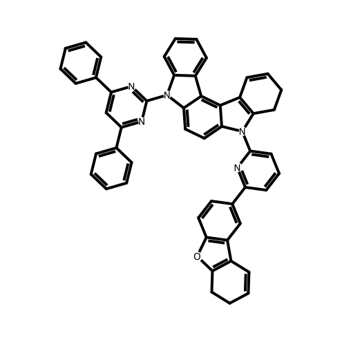 C1=Cc2c(oc3ccc(-c4cccc(-n5c6c(c7c8c9ccccc9n(-c9nc(-c%10ccccc%10)cc(-c%10ccccc%10)n9)c8ccc75)C=CCC6)n4)cc23)CC1